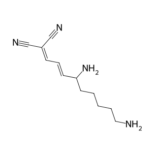 N#CC(C#N)=CC=CC(N)CCCCCN